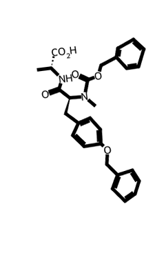 C[C@@H](NC(=O)[C@H](Cc1ccc(OCc2ccccc2)cc1)N(C)C(=O)OCc1ccccc1)C(=O)O